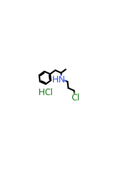 CC(Cc1ccccc1)NCCCCl.Cl